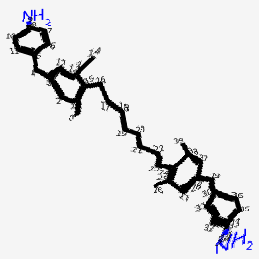 Cc1cc(Cc2ccc(N)cc2)cc(C)c1CCCCCCCCc1c(C)cc(Cc2ccc(N)cc2)cc1C